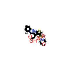 O=C(O)Cc1c(Cc2ccccc2)[nH]c2scc(S(=O)(=O)N3CCOCC3)c12